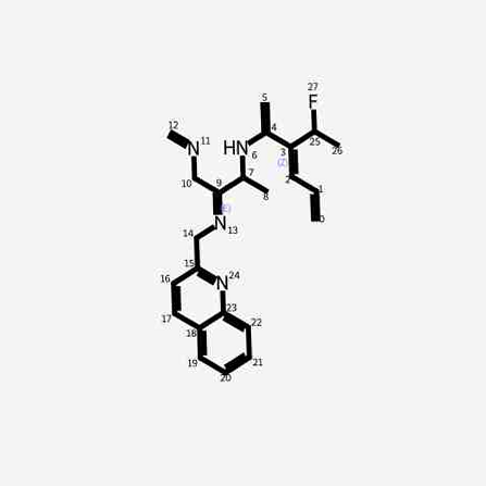 C=C/C=C(/C(=C)NC(C)/C(CN=C)=N/Cc1ccc2ccccc2n1)C(C)F